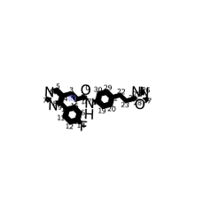 O=C(/C=C/c1cncnc1-c1ccc(F)cc1)Nc1ccc(CCc2nnco2)cc1